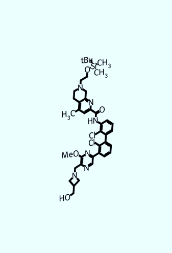 COc1nc(-c2cccc(-c3cccc(NC(=O)c4cc(C)c5c(n4)CN(CCO[Si](C)(C)C(C)(C)C)CC5)c3Cl)c2Cl)cnc1CN1CC(CO)C1